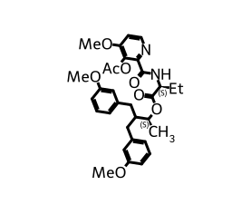 CC[C@H](NC(=O)c1nccc(OC)c1OC(C)=O)C(=O)O[C@@H](C)C(Cc1cccc(OC)c1)Cc1cccc(OC)c1